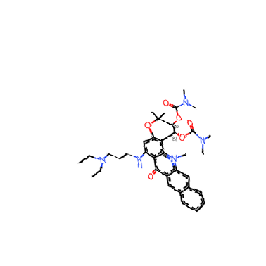 CCN(CC)CCCNc1cc2c(c3c1c(=O)c1cc4ccccc4cc1n3C)[C@H](OC(=O)N(C)C)[C@H](OC(=O)N(C)C)C(C)(C)O2